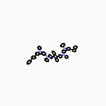 c1ccc(-c2ccc(-c3ccc4c(c3)c3cc(N(c5ccccc5)c5ccc(-c6c7ccccc7c(-c7ccc(N(c8ccccc8)c8ccc9c(c8)c8cc(-c%10cccc%11ccccc%10%11)ccc8n9-c8ccccc8)cc7)c7ccccc67)cc5)ccc3n4-c3ccccc3)cc2)cc1